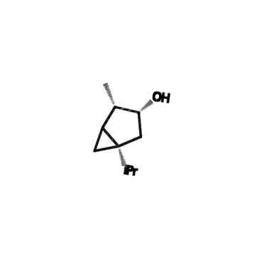 CC(C)[C@]12CC1[C@H](C)[C@H](O)C2